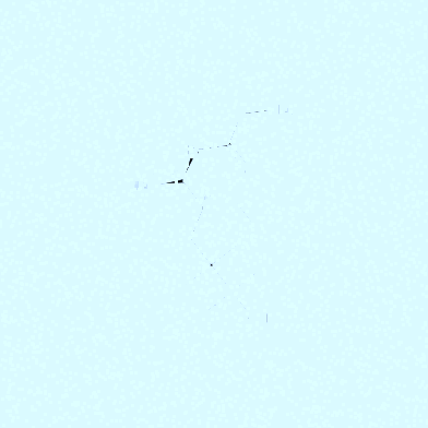 CC[C@H](C)[C@@H](NC(=O)OC(C)(C)C)[C@H](CC(=O)O)CC(C)(C)[Si](C)(C)O